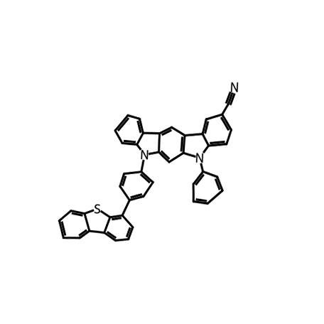 N#Cc1ccc2c(c1)c1cc3c4ccccc4n(-c4ccc(-c5cccc6c5sc5ccccc56)cc4)c3cc1n2-c1ccccc1